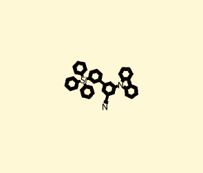 N#Cc1cc(-c2cccc([Si](c3ccccc3)(c3ccccc3)c3ccccc3)c2)cc(-n2c3ccccc3c3ccccc32)c1